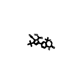 CC(C)(C)c1cc(-c2ccc3c(c2)C(C)(C)OCC(=O)N3)n(C(=O)O)c1C#N